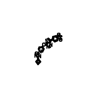 CS(=O)(=O)c1ccc(-c2csc3c(OC4CCN(c5nc(C6CCC6)no5)CC4)ncnc23)cc1